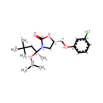 C[SiH](C)O[C@@](C)(CC(C)(C)C)N1C[C@@H](COc2cccc(Cl)c2)OC1=O